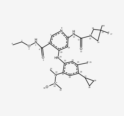 CCONC(=O)c1cnc(NC(=O)N2CC(C)(F)C2)cc1Nc1cc(F)c(C2CC2)cc1N(C)[S+](C)[O-]